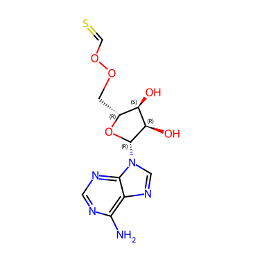 Nc1ncnc2c1ncn2[C@@H]1O[C@H](COOC=S)[C@@H](O)[C@H]1O